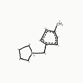 Cc1ccc(CN2C[CH]CC2)cc1